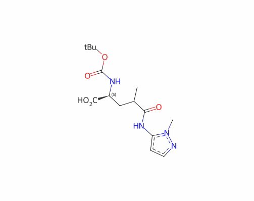 CC(C[C@H](NC(=O)OC(C)(C)C)C(=O)O)C(=O)Nc1ccnn1C